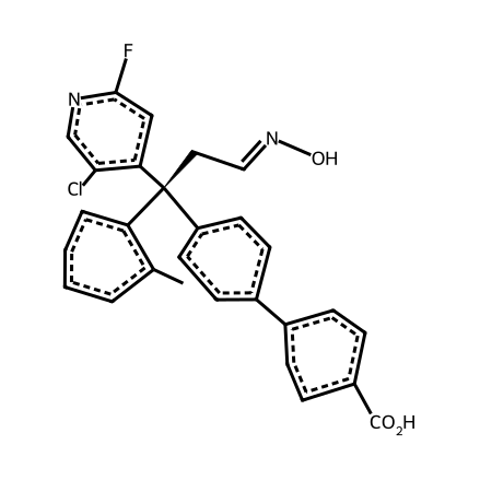 Cc1ccccc1[C@@](C/C=N/O)(c1ccc(-c2ccc(C(=O)O)cc2)cc1)c1cc(F)ncc1Cl